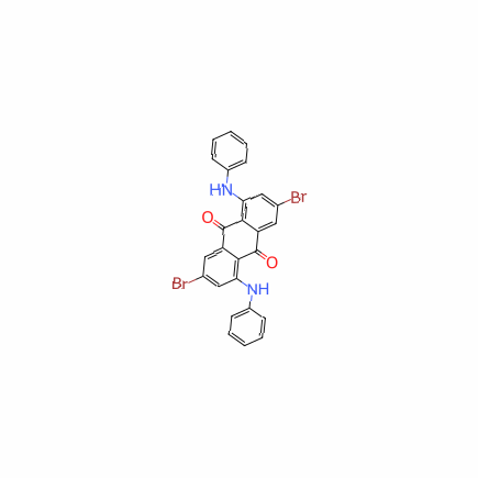 O=C1c2cc(Br)cc(Nc3ccccc3)c2C(=O)c2cc(Br)cc(Nc3ccccc3)c21